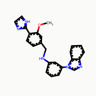 COc1cc(CNc2cccc(-n3cnc4ccccc43)c2)ccc1-c1ncc[nH]1